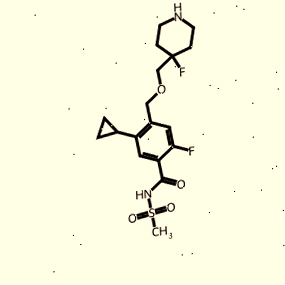 CS(=O)(=O)NC(=O)c1cc(C2CC2)c(COCC2(F)CCNCC2)cc1F